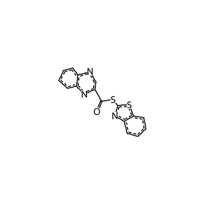 O=C(Sc1nc2ccccc2s1)c1cnc2ccccc2n1